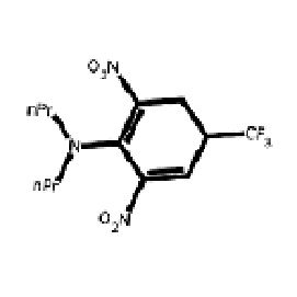 CCCN(CCC)C1=C([N+](=O)[O-])CC(C(F)(F)F)C=C1[N+](=O)[O-]